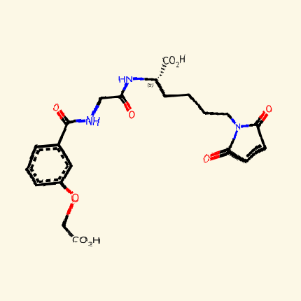 O=C(O)COc1cccc(C(=O)NCC(=O)N[C@@H](CCCCN2C(=O)C=CC2=O)C(=O)O)c1